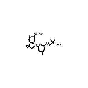 COC(C)(C)COc1cc(C)cc(N2CC3(CC3)c3cnc(NC(C)=O)cc32)n1